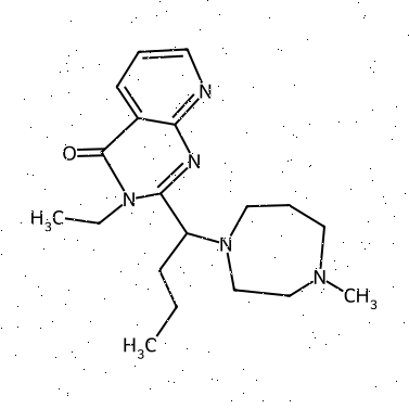 CCCC(c1nc2ncccc2c(=O)n1CC)N1CCCN(C)CC1